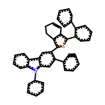 c1cccc(-c2cc3c(cc2-c2sc(-c4ccccc4-c4ccccc4)c4c2CCC=C4)c2ccccc2n3-c2ccccc2)c#1